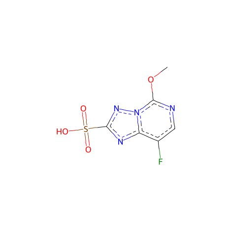 COc1ncc(F)c2nc(S(=O)(=O)O)nn12